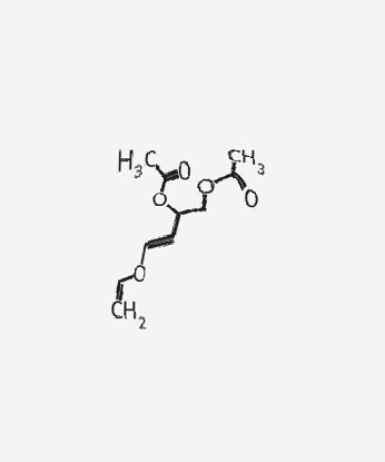 C=COC=CC(COC(C)=O)OC(C)=O